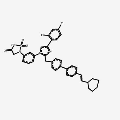 O=C1CN(c2cccc(-n3cc(-c4ccc(Cl)cc4Cl)nc3Cc3ccc(-c4ccc(/C=C/C5CCCCC5)cc4)cc3)c2)S(=O)(=O)N1